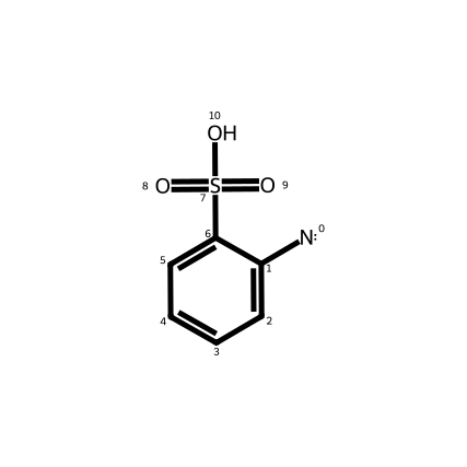 [N]c1ccccc1S(=O)(=O)O